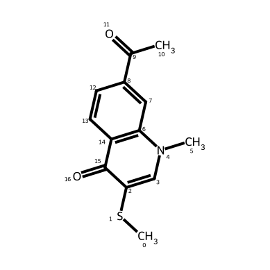 CSc1cn(C)c2cc(C(C)=O)ccc2c1=O